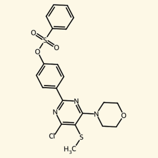 CSc1c(Cl)nc(-c2ccc(OS(=O)(=O)c3ccccc3)cc2)nc1N1CCOCC1